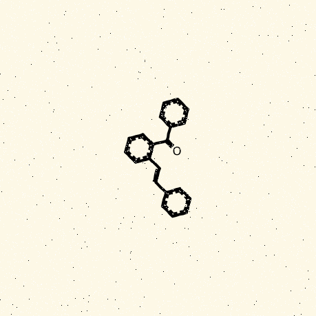 O=C(c1ccccc1)c1ccccc1C=Cc1ccccc1